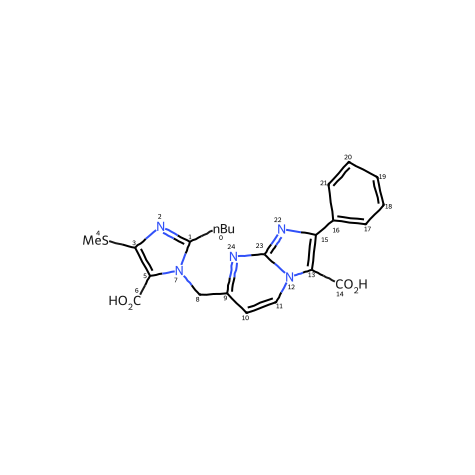 CCCCc1nc(SC)c(C(=O)O)n1Cc1ccn2c(C(=O)O)c(-c3ccccc3)nc2n1